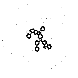 CC1(C)c2ccccc2-c2ccc(N(c3cccc(-c4ccccc4)c3)c3ccc4c(c3)c3cc5c(ccc6oc7ccccc7c65)cc3n4-c3ccccc3)cc21